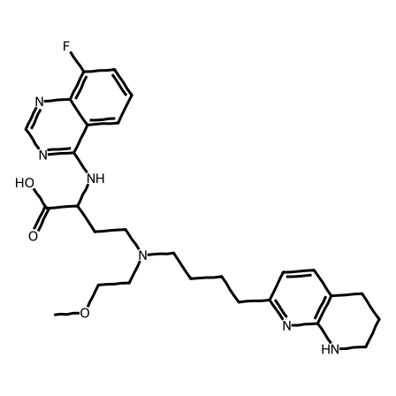 COCCN(CCCCc1ccc2c(n1)NCCC2)CCC(Nc1ncnc2c(F)cccc12)C(=O)O